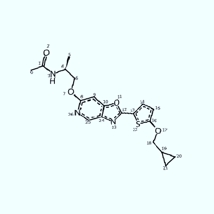 CC(=O)N[C@@H](C)COc1cc2oc(-c3ccc(OCC4CC4)s3)nc2cn1